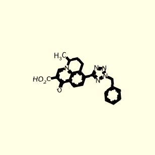 CC1CCc2c(-c3nnn(Cc4ccccc4)n3)ccc3c(=O)c(C(=O)O)cn1c23